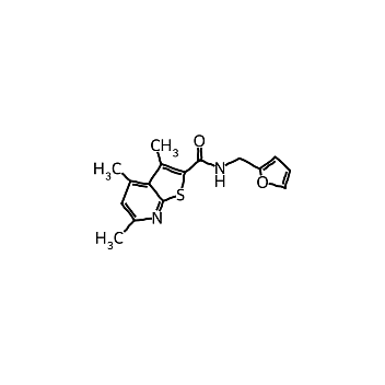 Cc1cc(C)c2c(C)c(C(=O)NCc3ccco3)sc2n1